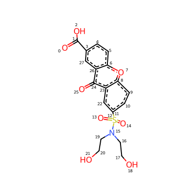 O=C(O)c1ccc2oc3ccc(S(=O)(=O)N(CCO)CCO)cc3c(=O)c2c1